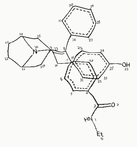 CCNC(=O)c1ccc(C(=C2CC3CCC(C2)N3CCc2ccc(O)cc2)c2ccccc2)cc1